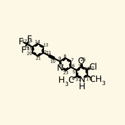 Cc1[nH]c(C)c(-c2ccc(C#Cc3ccc(C(F)(F)F)cc3)nc2)c(=O)c1Cl